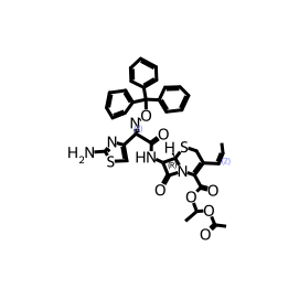 C/C=C\C1=C(C(=O)OC(C)OC(C)=O)N2C(=O)C(NC(=O)/C(=N\OC(c3ccccc3)(c3ccccc3)c3ccccc3)c3csc(N)n3)[C@H]2SC1